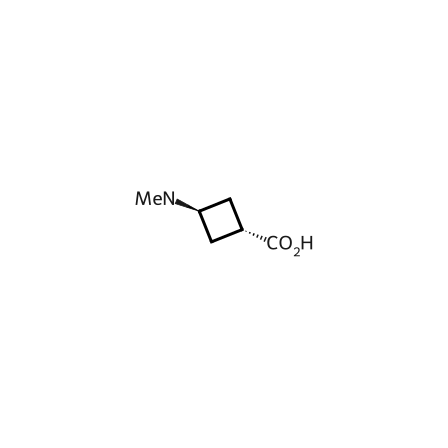 CN[C@H]1C[C@H](C(=O)O)C1